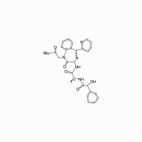 C[C@H](NC(=O)C(O)c1ccccc1)C(=O)NC1N=C(c2ccccn2)c2ccccc2N(CC(=O)C(C)(C)C)C1=O